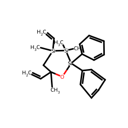 C=CC1(C)C[Si](C)(C=C)[Si](C)(C)[Si](c2ccccc2)(c2ccccc2)O1